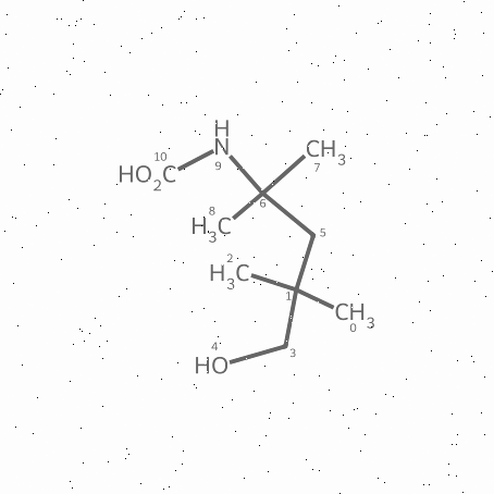 CC(C)(CO)CC(C)(C)NC(=O)O